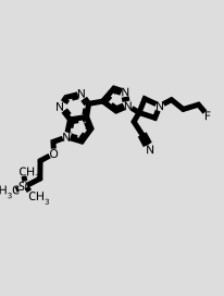 C[Si](C)(C)CCOCn1ccc2c(-c3cnn(C4(CC#N)CN(CCCF)C4)c3)ncnc21